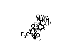 CON=C(N)c1c(Cl)ccc(-n2c(=O)cc(C(F)(F)F)n(N)c2=O)c1F